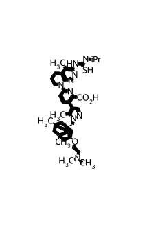 Cc1c(N/C(S)=N/C(C)C)nnc2c1CCCN2c1ccc(-c2cnn(C[C@]34C[C@]5(C)C[C@](C)(C3)C[C@@](OCCN(C)C)(C5)C4)c2C)c(C(=O)O)n1